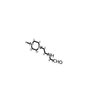 CN1CCN(CCNCC=O)CC1